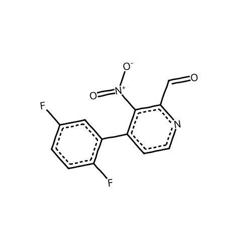 O=Cc1nccc(-c2cc(F)ccc2F)c1[N+](=O)[O-]